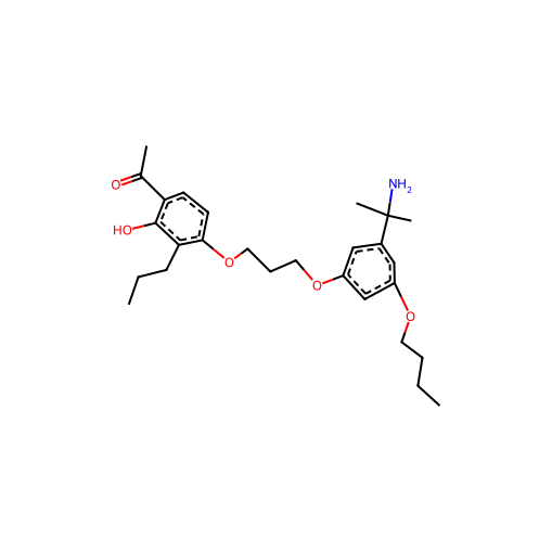 CCCCOc1cc(OCCCOc2ccc(C(C)=O)c(O)c2CCC)cc(C(C)(C)N)c1